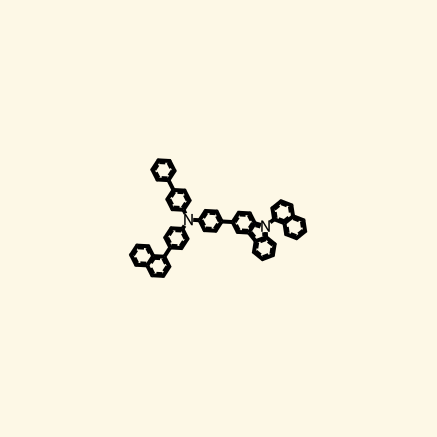 c1ccc(-c2ccc(N(c3ccc(-c4ccc5c(c4)c4ccccc4n5-c4cccc5ccccc45)cc3)c3ccc(-c4cccc5ccccc45)cc3)cc2)cc1